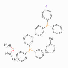 [CH3][AlH][O][AlH2].[I].[Pd][c]1ccccc1.c1ccc(P(c2ccccc2)c2ccccc2)cc1.c1ccc(P(c2ccccc2)c2ccccc2)cc1